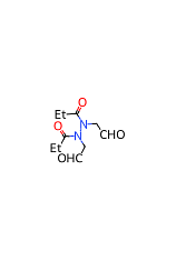 CCC(=O)N(CC=O)N(CC=O)C(=O)CC